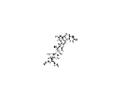 COc1cc(C#N)cnc1N1CCN(Cc2ccc(Cc3ccc4c5c(cc(F)cc35)C(=O)N4C3CCC(=O)NC3=O)c(F)c2)C[C@@H]1C